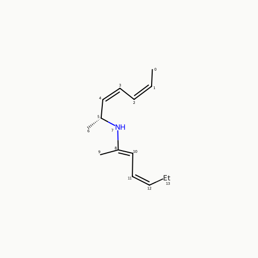 C/C=C\C=C/[C@@H](C)N/C(C)=C/C=C\CC